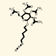 CC(=O)N[C@H]1[C@H](OCCCCCN=[N+]=[N-])O[C@H](COC(C)=O)[C@@H](OC(C)=O)[C@@H]1OC(C)=O